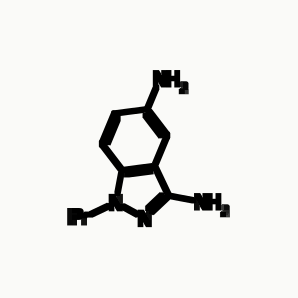 CC(C)n1nc(N)c2cc(N)ccc21